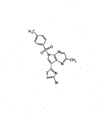 Cc1ccc(S(=O)(=O)n2cc(-c3nc(Br)cs3)c3nc(C)cnc32)cc1